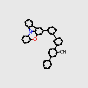 N#Cc1cc(-c2ccccc2)ccc1-c1cccc(-c2cccc(-c3cc4c5c(c3)c3ccccc3n5-c3ccccc3O4)c2)c1